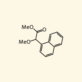 COC(=O)C(OC)c1cccc2ccccc12